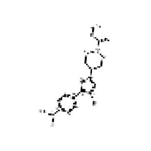 CC(C)(C)OC(=O)N1CCC(n2cc(Br)c(-c3ccc(C(F)F)cc3)n2)CC1